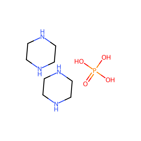 C1CNCCN1.C1CNCCN1.O=P(O)(O)O